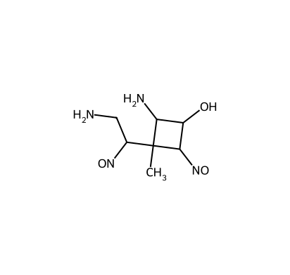 CC1(C(CN)N=O)C(N)C(O)C1N=O